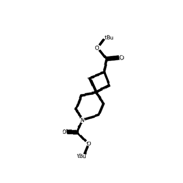 CC(C)(C)OC(=O)C1CC2(CCN(C(=O)OC(C)(C)C)CC2)C1